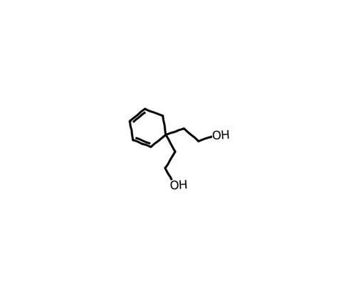 OCCC1(CCO)C=CC=CC1